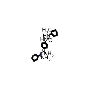 Cc1ccccc1NC(=O)Nc1ccc(N(N)/C=C(\N)c2ccccc2)cc1